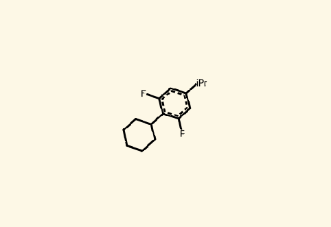 CC(C)c1cc(F)c(C2CCCCC2)c(F)c1